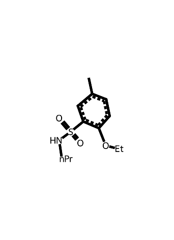 C[CH]CNS(=O)(=O)c1cc(C)ccc1OCC